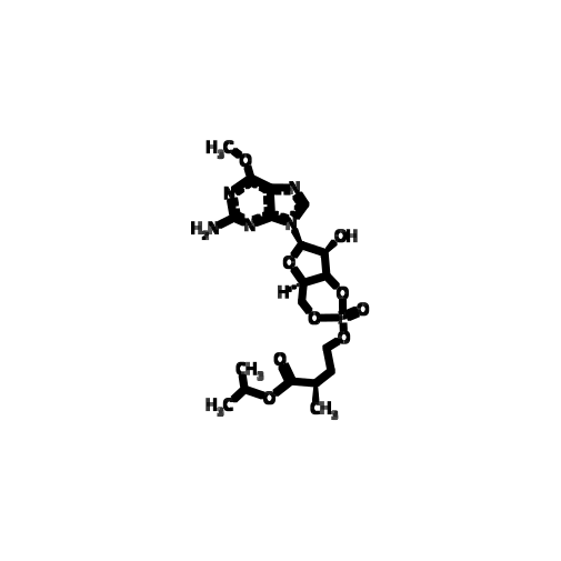 COc1nc(N)nc2c1ncn2[C@@H]1O[C@@H]2COP(=O)(OCC[C@@H](C)C(=O)OC(C)C)OC2[C@@H]1O